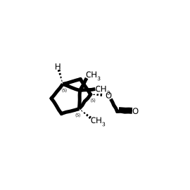 CC1(C)[C@H]2CC[C@]1(C)[C@@H](OC=O)C2